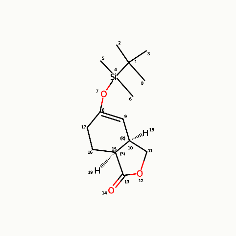 CC(C)(C)[Si](C)(C)OC1=C[C@H]2COC(=O)[C@H]2CC1